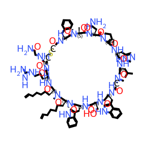 C=CCCCCC[C@H]1C(=O)N(C)[C@@H](CCCCCC=C)C(=O)N[C@@H](CCCNC(=N)N)C(=O)N[C@H](C(=O)NCC(N)=O)CSCC(=O)N[C@@H](Cc2ccccc2)C(=O)N(C)[C@@H](C)C(=O)N[C@@H](CC(N)=O)C(=O)N2CCC[C@H]2C(=O)N[C@@H](Cc2cnc[nH]2)C(=O)N[C@@H](CC(C)C)C(=O)N(C)CC(=O)N[C@@H](Cc2c[nH]c3ccccc23)C(=O)N[C@@H](CO)C(=O)N[C@@H](Cc2c[nH]c3ccccc23)C(=O)N1C